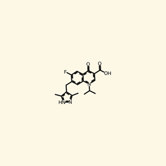 Cc1n[nH]c(C)c1Cc1cc2c(cc1F)c(=O)c(C(=O)O)cn2C(C)C